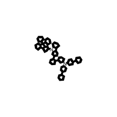 c1ccc(-c2ccc(N(c3ccc(-c4ccccc4)cc3)c3cccc(-c4ccccc4-c4ccc5c6ccccc6n(-c6ccc7c(c6)C(c6ccccc6)(c6ccccc6)c6ccccc6-7)c5c4)c3)cc2)cc1